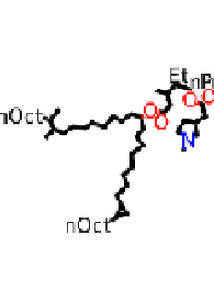 CCCCCCCCC(C)C(C)CCCCCCCCC(CCCCCCCCC1CC1CCCCCCCC)OC(=O)CC(C)C(CC)C(CCC)OC(=O)CC1CCN(C)C1